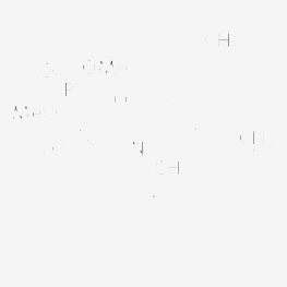 COP(=O)(CC(=O)[C@@H](Cc1ccccc1)N(C)C(=O)c1cc(C)cc(C)c1)OC